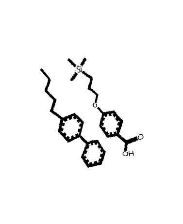 CCCCCc1ccc(-c2ccccc2)cc1.C[Si](C)(C)CCCOc1ccc(C(=O)O)cc1